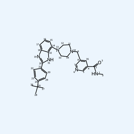 CNC(=O)c1cncc(CN2CCN(c3cccc4nc(-c5ccc(C(C)(C)C)cc5)[nH]c34)CC2)c1